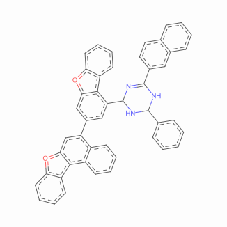 c1ccc(C2NC(c3ccc4ccccc4c3)=NC(c3cc(-c4cc5oc6ccccc6c5c5ccccc45)cc4oc5ccccc5c34)N2)cc1